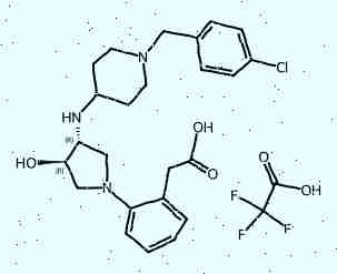 O=C(O)C(F)(F)F.O=C(O)Cc1ccccc1N1C[C@@H](O)[C@H](NC2CCN(Cc3ccc(Cl)cc3)CC2)C1